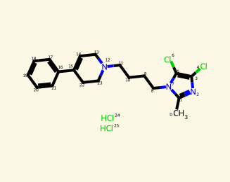 Cc1nc(Cl)c(Cl)n1CCCCN1CC=C(c2ccccc2)CC1.Cl.Cl